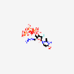 C=C1NC(=O)C=CN1[C@@H]1O[C@](CN=[N+]=[N-])(COP(=O)(O)OP(=O)(O)OP(=O)(O)O)[C@@H](O)[C@H]1F